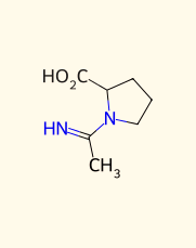 CC(=N)N1CCCC1C(=O)O